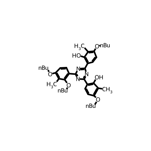 CCCCOc1ccc(-c2nc(-c3ccc(OCCCC)c(C)c3O)nc(-c3ccc(OCCCC)c(C)c3OCCCC)n2)c(O)c1C